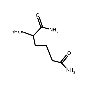 CCCCCCC(CCCC(N)=O)C(N)=O